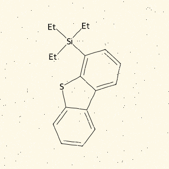 CC[Si](CC)(CC)c1cccc2c1sc1ccccc12